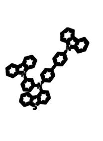 c1cc(N(c2ccc(-c3ccc(-n4c5ccccc5c5ccccc54)cc3)cc2)c2cccc3sc4ccccc4c23)cc(-n2c3ccccc3c3ccccc32)c1